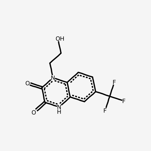 O=c1[nH]c2cc(C(F)(F)F)ccc2n(CCO)c1=O